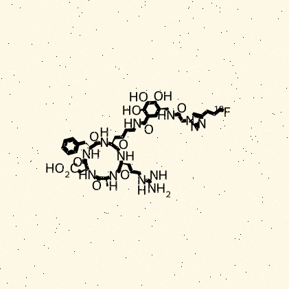 C[C@@H]1NC(=O)[C@H](CCCNC(=N)N)NC(=O)[C@H](CCCCNC(=O)C2C[C@H](CNC(=O)Cn3cc(CCC[18F])nn3)[C@H](O)C(O)[C@@H]2O)NC(=O)[C@@H](Cc2ccccc2)NC(=O)[C@H](CC(=O)O)NC1=O